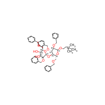 C[Si](C)(C)CCO[C@H]1O[C@H](COCc2ccccc2)[C@@H](O[C@@H]2O[C@H](COCc3ccccc3)[C@H](O)[C@H](O)[C@H]2OCc2ccccc2)[C@H](OCc2ccccc2)[C@H]1OCc1ccccc1